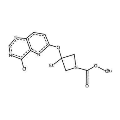 CCC1(Oc2ccc3ncnc(Cl)c3n2)CN(C(=O)OC(C)(C)C)C1